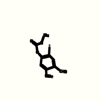 COc1cc(OC(=O)OC(C)(C)C)c(I)cc1C=O